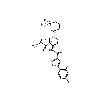 CN(C)C(=O)[C@@H]1CN([C@H]2CCCC(C)(C)C2)CC[C@H]1NC(=O)c1cc(-c2ccc(F)cc2F)on1